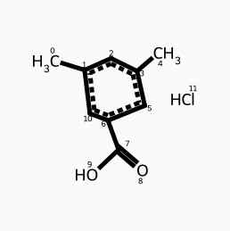 Cc1cc(C)cc(C(=O)O)c1.Cl